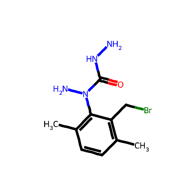 Cc1ccc(C)c(N(N)C(=O)NN)c1CBr